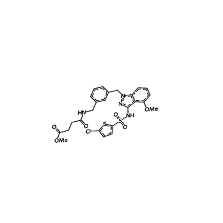 COC(=O)CCC(=O)NCc1cccc(Cn2nc(NS(=O)(=O)c3ccc(Cl)s3)c3c(OC)cccc32)c1